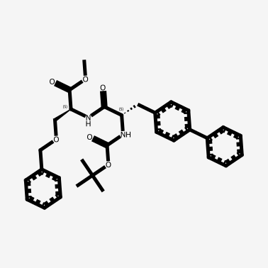 COC(=O)[C@H](COCc1ccccc1)NC(=O)[C@H](Cc1ccc(-c2ccccc2)cc1)NC(=O)OC(C)(C)C